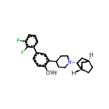 COc1ccc(-c2cccc(F)c2F)cc1C1CCN([C@@H]2C[C@H]3CC[C@H]2C3)CC1